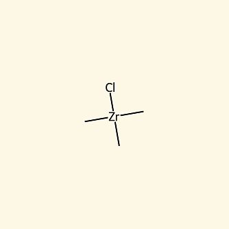 [CH3][Zr]([CH3])([CH3])[Cl]